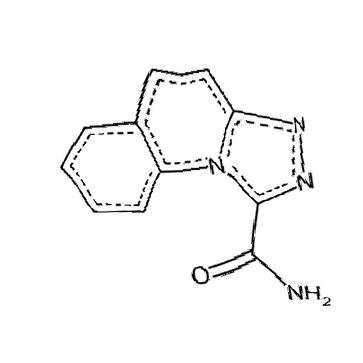 NC(=O)c1nnc2ccc3ccccc3n12